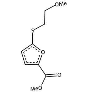 COCCSc1ccc(C(=O)OC)o1